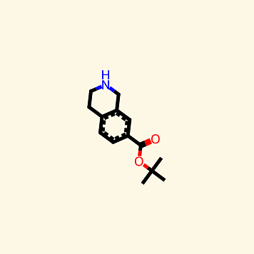 CC(C)(C)OC(=O)c1ccc2c(c1)CNCC2